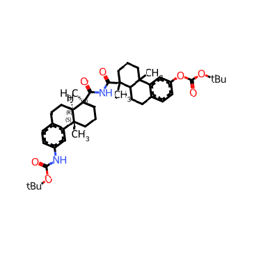 CC(C)(C)OC(=O)Nc1ccc2c(c1)[C@@]1(C)CCC[C@](C)(C(=O)NC(=O)C3(C)CCCC4(C)c5cc(OC(=O)OC(C)(C)C)ccc5CCC34)[C@@H]1CC2